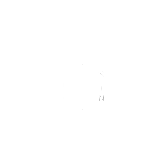 C1#CSN=CC1